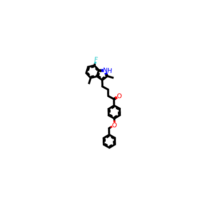 Cc1[nH]c2c(F)ccc(C)c2c1CCCC(=O)c1ccc(OCc2ccccc2)cc1